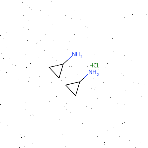 Cl.NC1CC1.NC1CC1